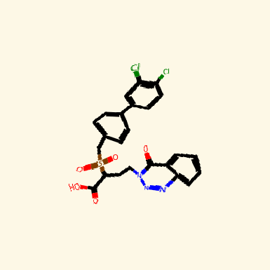 O=C(O)C(CCn1nnc2ccccc2c1=O)S(=O)(=O)Cc1ccc(-c2ccc(Cl)c(Cl)c2)cc1